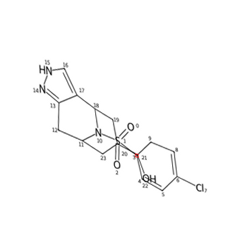 O=S(=O)(C1C=CC(Cl)=CC1)N1C2Cc3n[nH]cc3C1CC(CO)C2